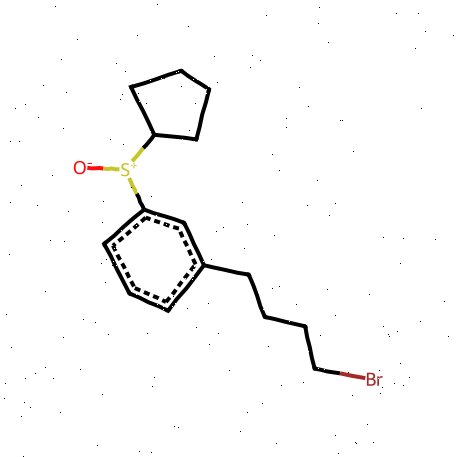 [O-][S+](c1cccc(CCCCBr)c1)C1CCCC1